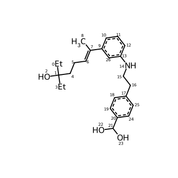 CCC(O)(CC)CCC=C(C)c1cccc(NCCc2ccc(C(O)O)cc2)c1